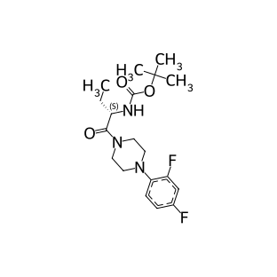 CC[C@H](NC(=O)OC(C)(C)C)C(=O)N1CCN(c2ccc(F)cc2F)CC1